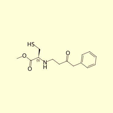 COC(=O)[C@@H](CS)NCCC(=O)Cc1ccccc1